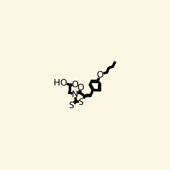 CCCCOc1ccc(/C=C2/SC(=S)N(CC(=O)O)C2=O)cc1